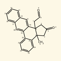 CC12CC(=O)CC1(CC=O)c1cc3ccccc3nc1-c1ccccc12